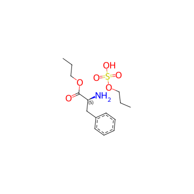 CCCOC(=O)[C@@H](N)Cc1ccccc1.CCCOS(=O)(=O)O